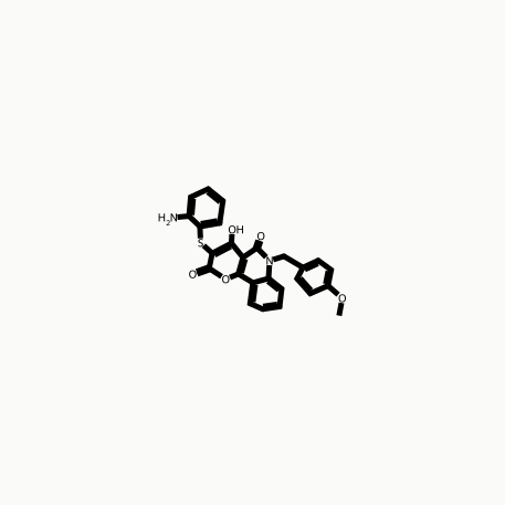 COc1ccc(Cn2c(=O)c3c(O)c(Sc4ccccc4N)c(=O)oc3c3ccccc32)cc1